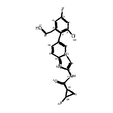 O=C(Nc1cn2cc(-c3c(Cl)cc(F)cc3CO)ccc2n1)C1CC1F